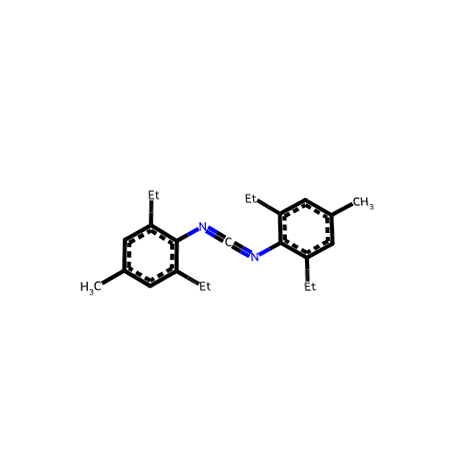 CCc1cc(C)cc(CC)c1N=C=Nc1c(CC)cc(C)cc1CC